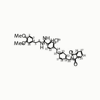 COc1ccc(CCNC(=N)c2ccc(CCc3ccc(CN4C(=O)c5ccccc5C4=O)cc3)cc2)cc1OC.Cl